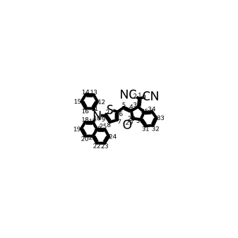 N#CC(C#N)=C1/C(=C/c2ccc(N(c3ccccc3)c3cccc4ccccc34)s2)C(=O)c2ccccc21